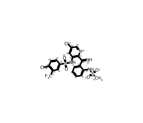 CS(=O)(=O)Nc1ccccc1C(=N)c1ncc(Cl)cc1NS(=O)(=O)c1ccc(Cl)c(C(F)(F)F)c1